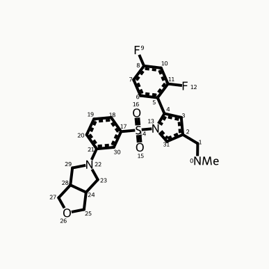 CNCc1cc(-c2ccc(F)cc2F)n(S(=O)(=O)c2cccc(N3CC4COCC4C3)c2)c1